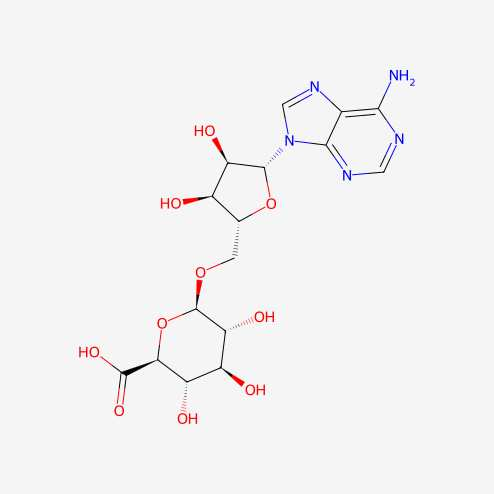 Nc1ncnc2c1ncn2[C@@H]1O[C@H](CO[C@@H]2O[C@H](C(=O)O)[C@@H](O)[C@H](O)[C@H]2O)[C@@H](O)[C@H]1O